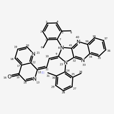 Cc1cccc(C)c1N1C(=C/C=C2/N=CC(=O)c3cccnc32)N(c2c(C)cccc2C)c2nc3ccccc3nc21